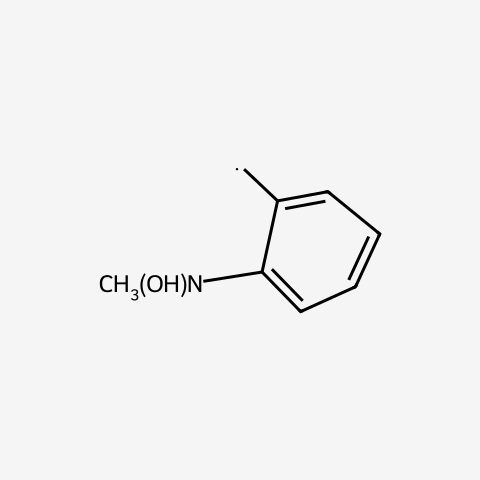 [CH2]c1ccccc1N(C)O